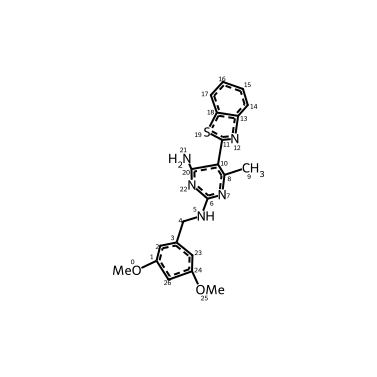 COc1cc(CNc2nc(C)c(-c3nc4ccccc4s3)c(N)n2)cc(OC)c1